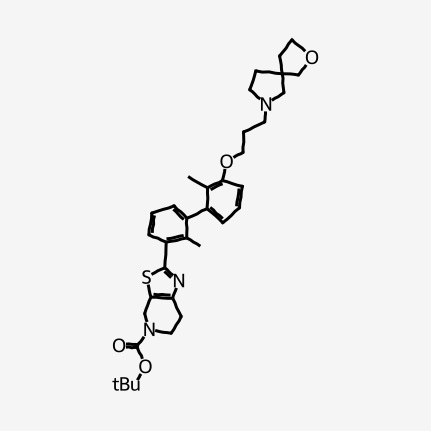 Cc1c(OCCCN2CCC3(CCOC3)C2)cccc1-c1cccc(-c2nc3c(s2)CN(C(=O)OC(C)(C)C)CC3)c1C